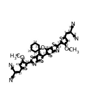 COc1cc(C=C(C#N)C#N)sc1-c1nc2sc3c(c2s1)OC1(CCCCC1)c1c-3sc2nc(-c3sc(C=C(C#N)C#N)cc3OC)sc12